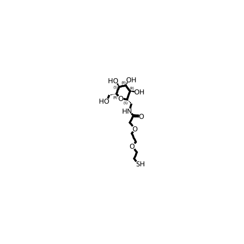 O=C(COCCOCCS)NC[C@@H]1O[C@H](CO)[C@@H](O)[C@H](O)[C@H]1O